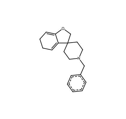 C1=C2OCC3(CCN(Cc4ccccc4)CC3)C2=CCC1